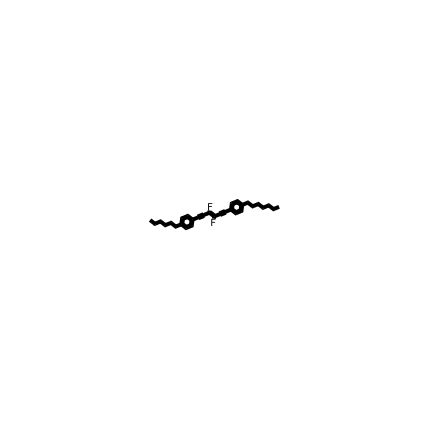 CCCCCCCc1ccc(C#C/C(F)=C(\F)C#Cc2ccc(CCCCCC)cc2)cc1